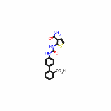 NC(=O)c1ccsc1NC(=O)Nc1ccc(-c2ccccc2C(=O)O)cc1